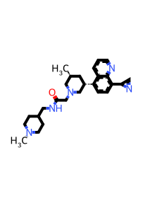 C[C@@H]1C[C@H](c2ccc(C3C=N3)c3ncccc23)CN(CC(=O)NCC2CCN(C)CC2)C1